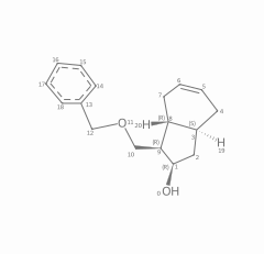 O[C@@H]1C[C@@H]2CC=CC[C@H]2[C@@H]1COCc1ccccc1